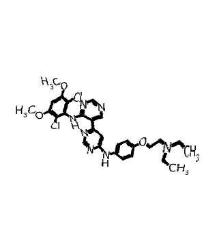 CCN(CC)CCOc1ccc(Nc2cc(-c3cncnc3Nc3c(Cl)c(OC)cc(OC)c3Cl)ncn2)cc1